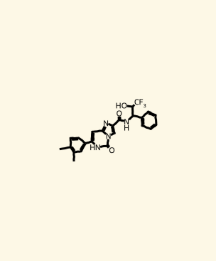 Cc1ccc(-c2cc3nc(C(=O)NC(c4ccccc4)C(O)C(F)(F)F)cn3c(=O)[nH]2)cc1C